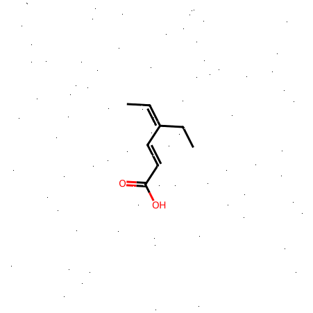 CC=C(C=CC(=O)O)CC